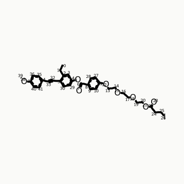 CCc1cc(OC(=O)c2ccc(OCCOCCOCCOC(=O)CCI)cc2)ccc1C#Cc1ccc(OC)cc1